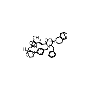 Cc1nc(C=CC(=O)N(Cc2ccc(N3CCOCC3)cc2)C(Cc2ccccc2)C(=O)N2CCc3ccccc3C2)c(C)o1